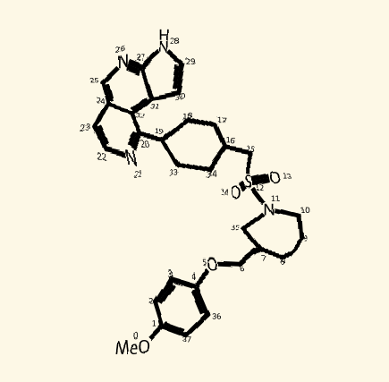 COc1ccc(OCC2CCCN(S(=O)(=O)CC3CCC(c4nccc5cnc6[nH]ccc6c45)CC3)C2)cc1